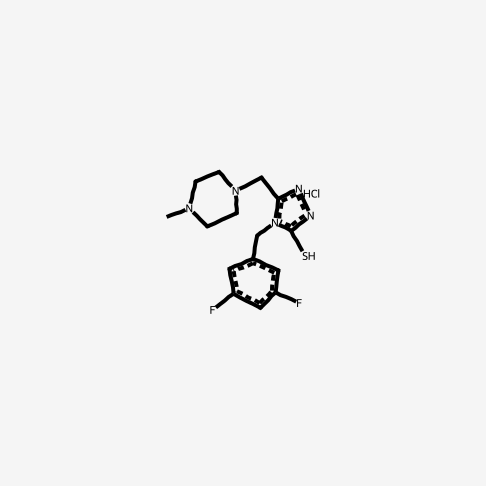 CN1CCN(Cc2nnc(S)n2Cc2cc(F)cc(F)c2)CC1.Cl